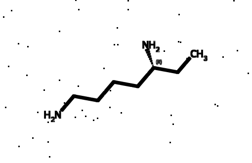 CC[C@@H](N)CCCCN